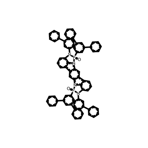 O=P1(c2cc(-c3ccccc3)cc(-c3ccccc3)c2)N(c2cccc(-c3ccccc3)c2)c2cccc3c4cc5c(cc4n1c23)c1cccc2c1n5P(=O)(c1cc(-c3ccccc3)cc(-c3ccccc3)c1)N2c1cccc(-c2ccccc2)c1